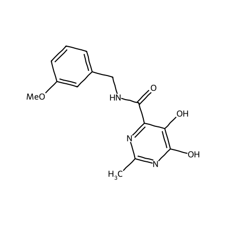 COc1cccc(CNC(=O)c2nc(C)nc(O)c2O)c1